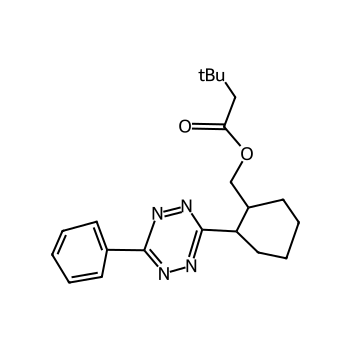 CC(C)(C)CC(=O)OCC1CCCCC1c1nnc(-c2ccccc2)nn1